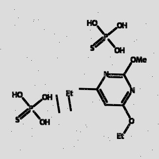 CC.CCC.CCOc1cc(C)nc(OC)n1.OP(O)(O)=S.OP(O)(O)=S